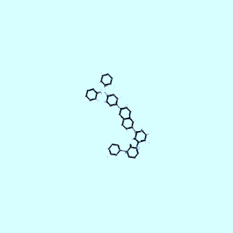 c1ccc(-c2cccc3c2oc2c(-c4ccc5cc(-c6ccc(N(c7ccccc7)c7ccccc7)cc6)ccc5c4)cccc23)cc1